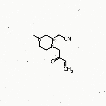 C=CC(=O)CN1CCN(I)C[C@H]1CC#N